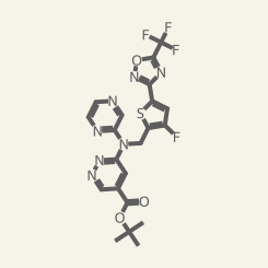 CC(C)(C)OC(=O)c1cnnc(N(Cc2sc(-c3noc(C(F)(F)F)n3)cc2F)c2cnccn2)c1